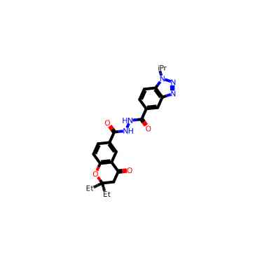 CCC1(CC)CC(=O)c2cc(C(=O)NNC(=O)c3ccc4c(c3)nnn4C(C)C)ccc2O1